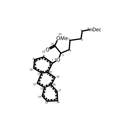 CCCCCCCCCCCCCCC(Oc1cccc2cc3ccccc3cc12)C(=O)OC